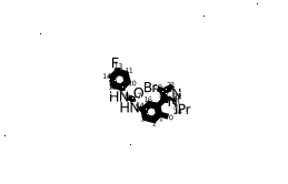 Cc1ccc(NC(=O)Nc2ccc(F)cc2)cc1-c1c(Br)cnn1C(C)C